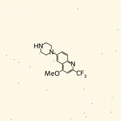 COc1cc(C(F)(F)F)nc2ccc(N3CCNCC3)cc12